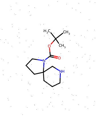 CC(C)(C)OC(=O)N1CCCC12CCCNC2